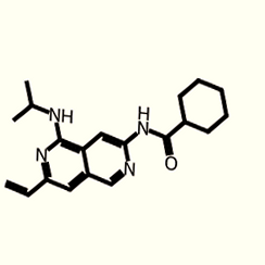 C=Cc1cc2cnc(NC(=O)C3CCCCC3)cc2c(NC(C)C)n1